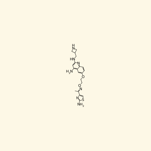 C/C(=N\OCCOc1ccc2nc(NCC3CNC3)cc(N)c2c1)c1csc(N)n1